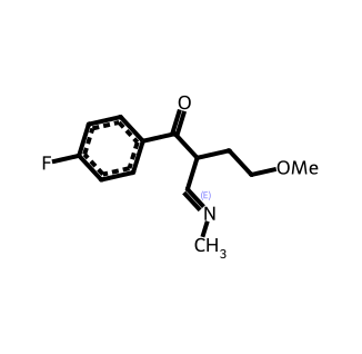 C/N=C/C(CCOC)C(=O)c1ccc(F)cc1